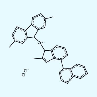 CC1=Cc2c(-c3cccc4ccccc34)cccc2[CH]1[Zr+2][CH]1c2cc(C)ccc2-c2ccc(C)cc21.[Cl-].[Cl-]